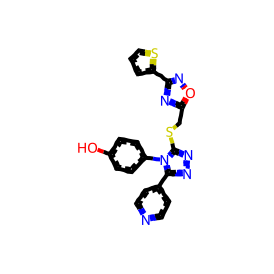 Oc1ccc(-n2c(SCc3nc(-c4cccs4)no3)nnc2-c2ccncc2)cc1